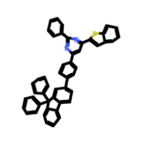 c1ccc(-c2nc(-c3ccc(-c4ccc5c(c4)C(c4ccccc4)(c4ccccc4)c4ccccc4-5)cc3)cc(-c3cc4ccccc4s3)n2)cc1